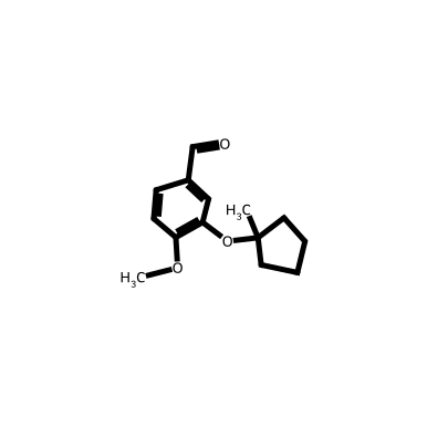 COc1ccc(C=O)cc1OC1(C)CCCC1